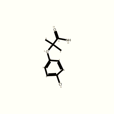 CC(C)(Oc1ccc(Cl)cc1)C([NH])=O